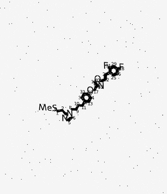 CSCCc1nccn1CCCCc1ccc(OCc2coc(/C=C/c3ccc(F)cc3F)n2)cc1